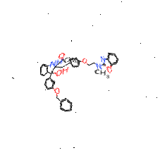 COC(=O)C1(Cc2ccc(OCCN(C)c3nc4ccccc4o3)cc2)Nc2ccccc2C1(O)c1cccc(OCc2ccccc2)c1